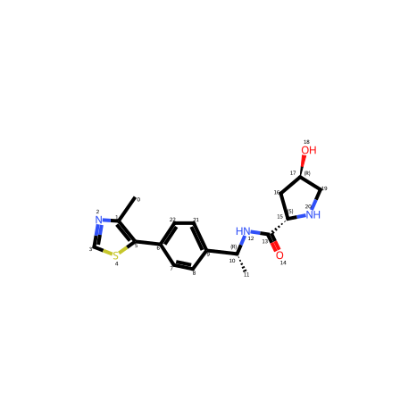 Cc1ncsc1-c1ccc([C@@H](C)NC(=O)[C@@H]2C[C@@H](O)CN2)cc1